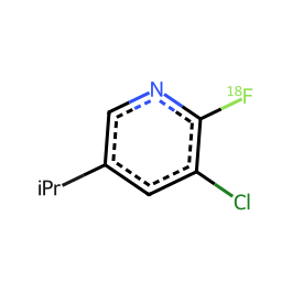 CC(C)c1cnc([18F])c(Cl)c1